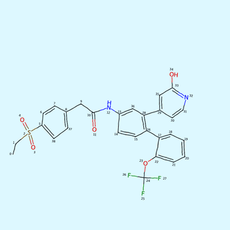 CCS(=O)(=O)c1ccc(CC(=O)Nc2ccc(-c3ccccc3OC(F)(F)F)c(-c3ccnc(O)c3)c2)cc1